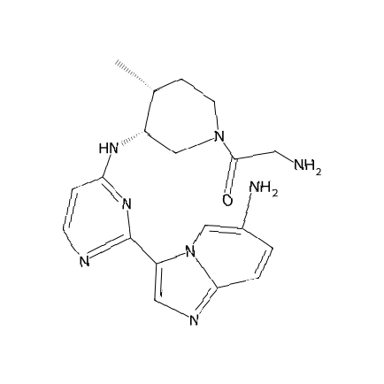 C[C@@H]1CCN(C(=O)CN)C[C@@H]1Nc1ccnc(-c2cnc3ccc(N)cn23)n1